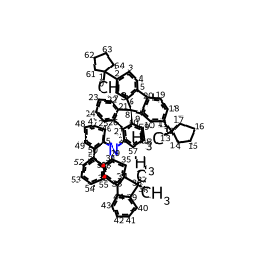 CC1(c2ccc3c(c2)C2(c4cc(C5(C)CCCC5)ccc4-3)c3ccccc3-c3c(N(c4ccc5c(c4)C(C)(C)c4ccccc4-5)c4ccccc4-c4ccccc4)cccc32)CCCC1